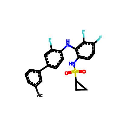 CC(=O)c1cccc(-c2ccc(Nc3c(NS(=O)(=O)C4CC4)ccc(F)c3F)c(F)c2)c1